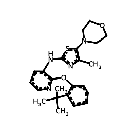 Cc1nc(Nc2cccnc2Oc2ccccc2C(C)(C)C)sc1N1CCOCC1